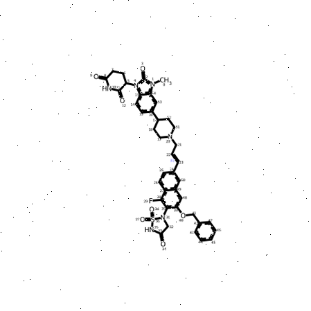 Cn1c(=O)n(C2CCC(=O)NC2=O)c2ccc(C3CCN(C/C=C/c4ccc5c(F)c(N6CC(=O)NS6(=O)=O)c(OCc6ccccc6)cc5c4)CC3)cc21